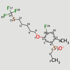 CC[S+]([O-])c1cc(OCCCCCSC(F)(F)F)c(F)cc1C